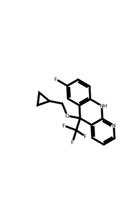 Fc1ccc2c(c1)C(OCC1CC1)(C(F)(F)F)c1cccnc1N2